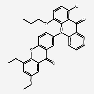 CCCOc1ccc(Cl)c2c1[SH](c1ccc3sc4c(CC)cc(CC)cc4c(=O)c3c1)c1ccccc1C2=O